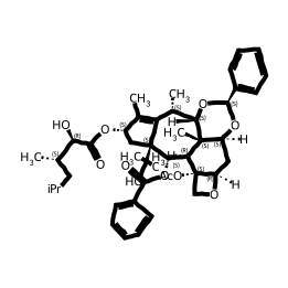 CC(=O)O[C@@]12CO[C@@H]1C[C@@H]1O[C@H](c3ccccc3)O[C@H]3[C@@H](C)C4=C(C)[C@@H](OC(=O)[C@H](O)[C@@H](C)CC(C)C)C[C@@]4(C(C)(C)O)[C@@H](OC(=O)c4ccccc4)[C@H]2[C@@]13C